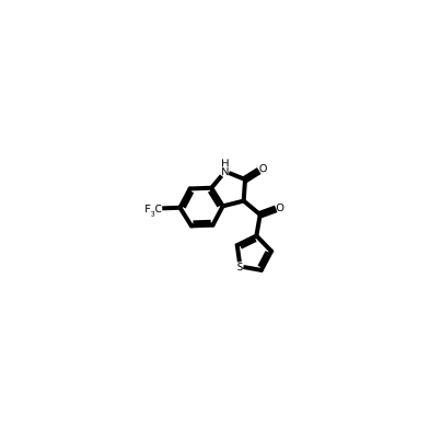 O=C1Nc2cc(C(F)(F)F)ccc2C1C(=O)c1ccsc1